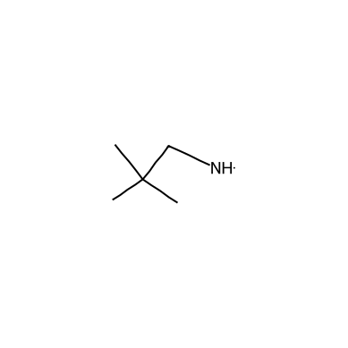 CC(C)(C)C[NH]